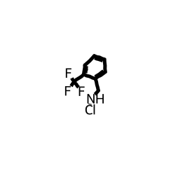 FC(F)(F)c1ccccc1CNCl